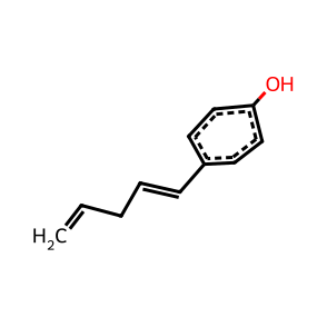 C=CC/C=C/c1ccc(O)cc1